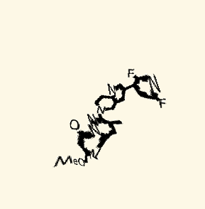 COCc1cc(=O)n2nc(N3CCc4ncc(-c5cc(F)ncc5F)cc4C3)c(C)cc2n1